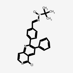 CC(C)(C)[S+]([O-])N=Cc1ccc(-c2nc3ccnc(Cl)c3cc2-c2ccccc2)cc1